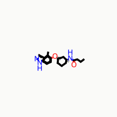 CCCC(=O)N[C@H]1CCC[C@@H](Oc2ccc3[nH]ncc3c2C)C1